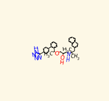 CC(OCC(O)CNC(C)(C)Cc1ccc2ccccc2c1)c1ccccc1-c1ccc(-c2nnn[nH]2)cc1